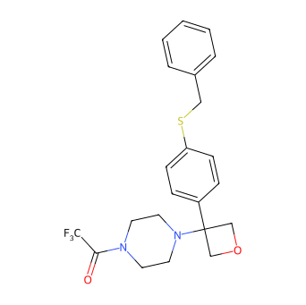 O=C(N1CCN(C2(c3ccc(SCc4ccccc4)cc3)COC2)CC1)C(F)(F)F